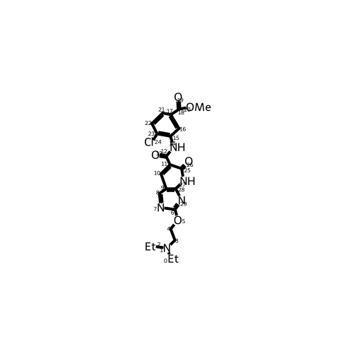 CCN(CC)CCOc1ncc2cc(C(=O)Nc3cc(C(=O)OC)ccc3Cl)c(=O)[nH]c2n1